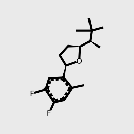 Cc1cc(F)c(F)cc1[C@H]1CC[C@@H]([C@H](C)C(C)(C)C)O1